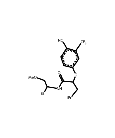 CCC(COC)NC(=O)C(CC(C)C)Oc1ccc(C#N)c(C(F)(F)F)c1